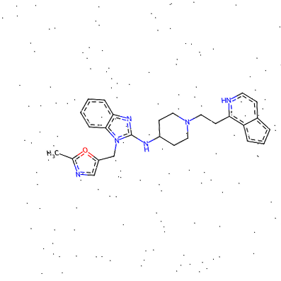 Cc1ncc(Cn2c(NC3CCN(CCc4[nH]ccc5cccc4-5)CC3)nc3ccccc32)o1